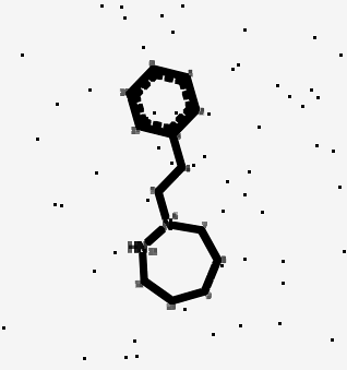 c1ccc(CCN2CCCCCN2)cc1